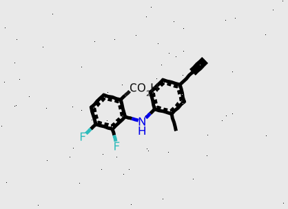 C#Cc1ccc(Nc2c(C(=O)O)ccc(F)c2F)c(C)c1